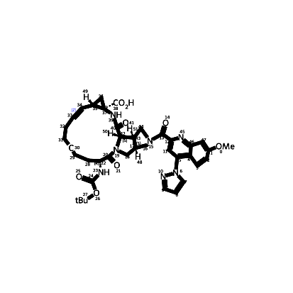 COc1ccc2c(-n3cccn3)cc(C(=O)N3C[C@H]4CN5C(=O)[C@H](NC(=O)OC(C)(C)C)CCCCC/C=C\[C@@H]6C[C@@]6(C(=O)O)NC(=O)[C@@H]5[C@H]4C3)nc2c1